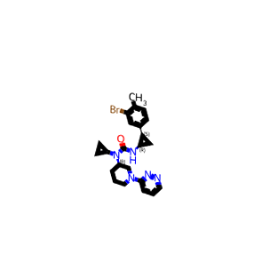 Cc1ccc([C@@H]2C[C@H]2NC(=O)N(C2CC2)[C@@H]2CCCN(c3cccnn3)C2)cc1Br